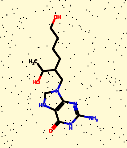 CC(O)C(CCCCO)CN1CNc2c1nc(N)[nH]c2=O